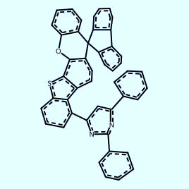 c1ccc(-c2cc(-c3cccc4sc5c6c(ccc5c34)C3(c4ccccc4O6)c4ccccc4-c4ccccc43)nc(-c3ccccc3)n2)cc1